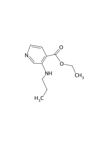 CCCNc1cnccc1C(=O)OCC